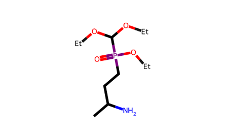 CCOC(OCC)P(=O)(CCC(C)N)OCC